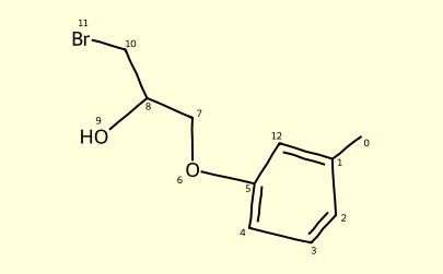 Cc1cccc(OCC(O)CBr)c1